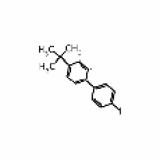 CC(C)(C)c1c[c]c(-c2ccc(I)cc2)cc1